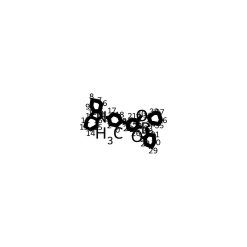 Cc1cc(N2c3ccccc3C3C=CC=CC32)ccc1-c1cc2c3c(c1)Oc1ccccc1B3c1ccccc1O2